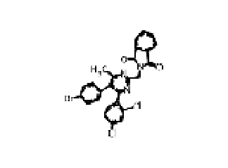 Cc1nc(CN2C(=O)c3ccccc3C2=O)nc(-c2ccc(Cl)cc2Cl)c1-c1ccc(Br)cc1